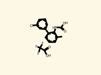 Cc1cccc(-c2cccc(Cl)c2)c1NC(=O)O.O=C(O)C(F)(F)F